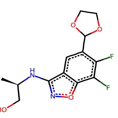 C[C@H](CO)Nc1noc2c(F)c(F)c(C3OCCO3)cc12